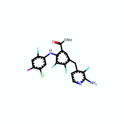 COC(=O)c1cc(Cc2ccnc(N)c2F)c(F)c(F)c1Nc1cc(Cl)c(I)cc1F